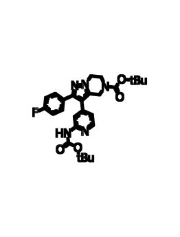 CC(C)(C)OC(=O)Nc1cc(-c2c(-c3ccc(F)cc3)nn3c2CN(C(=O)OC(C)(C)C)CC3)ccn1